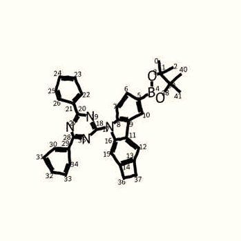 CC1(C)OB(c2ccc3c(c2)c2cc4c(cc2n3-c2nc(-c3ccccc3)nc(-c3ccccc3)n2)CC4)OC1(C)C